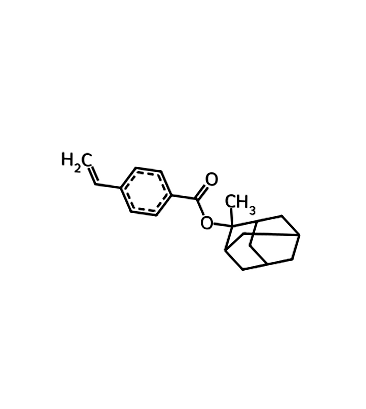 C=Cc1ccc(C(=O)OC2(C)C3CC4CC(C3)CC2C4)cc1